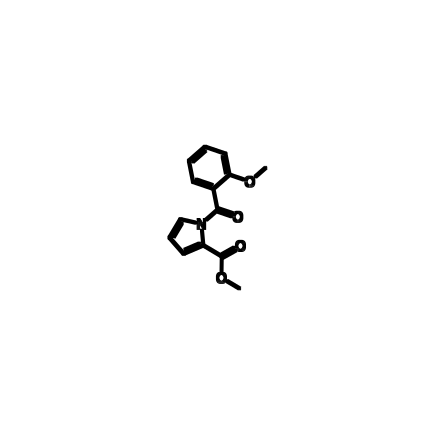 COC(=O)c1cccn1C(=O)c1ccccc1OC